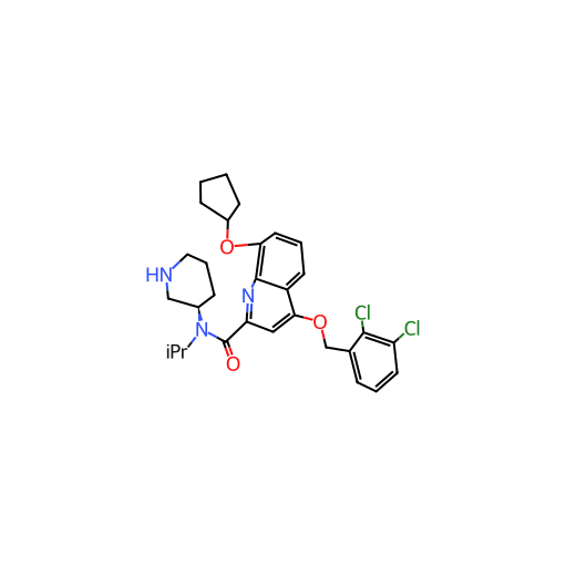 CC(C)N(C(=O)c1cc(OCc2cccc(Cl)c2Cl)c2cccc(OC3CCCC3)c2n1)[C@@H]1CCCNC1